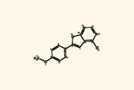 COc1ccc(-c2cc3c(Cl)ncnc3o2)cc1